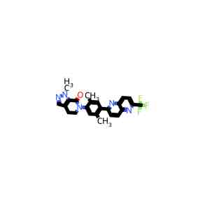 Cc1cc(N2CCc3cnn(C)c3C2=O)c(C)cc1-c1ccc2nc(C(F)(F)F)ccc2n1